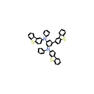 c1ccc(N(c2cc(-c3ccc4sc5ccccc5c4c3)cc(N(c3ccccc3)c3ccc4sc5ccccc5c4c3)c2)c2ccc3c(c2)sc2ccccc23)cc1